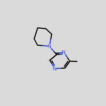 Cc1cn[c]c(N2CCCCC2)n1